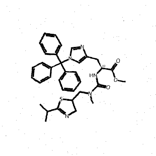 COC(=O)[C@H](Cc1cn(C(c2ccccc2)(c2ccccc2)c2ccccc2)cn1)NC(=O)N(C)CC1CN=C(C(C)C)S1